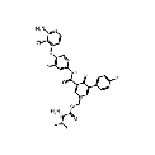 CC(C)[C@H](N)C(=O)OCn1cc(C(=O)Nc2ccc(Oc3ccnc(N)c3Cl)c(F)c2)c(=O)c(-c2ccc(F)cc2)c1